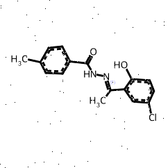 C/C(=N\NC(=O)c1ccc(C)cc1)c1cc(Cl)ccc1O